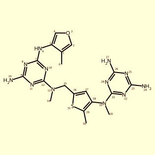 Cc1cocc1Nc1nc(N)nc(N(C)Cc2cc(N(C)c3nc(N)nc(N)n3)c(C)s2)n1